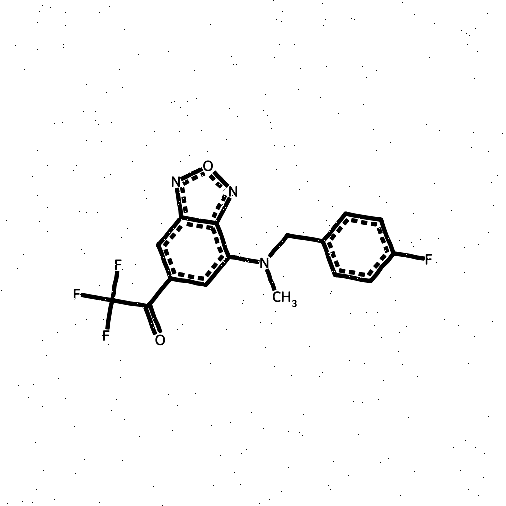 CN(Cc1ccc(F)cc1)c1cc(C(=O)C(F)(F)F)cc2nonc12